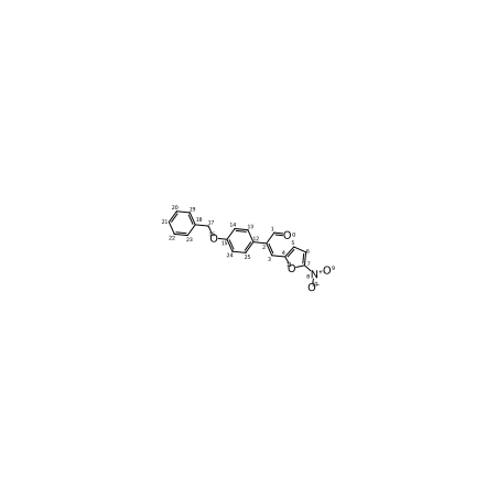 O=CC(=Cc1ccc([N+](=O)[O-])o1)c1ccc(OCc2ccccc2)cc1